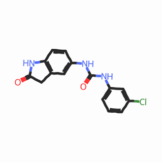 O=C1Cc2cc(NC(=O)Nc3cccc(Cl)c3)ccc2N1